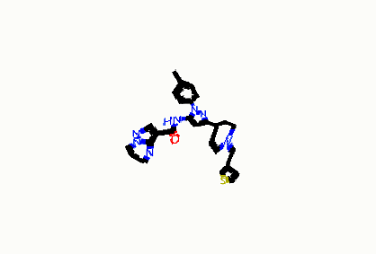 Cc1ccc(-n2nc(C3CCN(Cc4ccsc4)CC3)cc2NC(=O)c2cnn3cccnc23)cc1